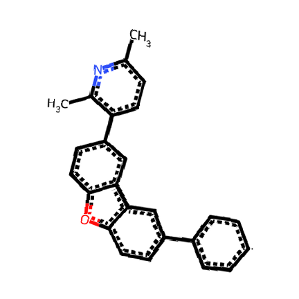 Cc1ccc(-c2ccc3oc4ccc(-c5cc[c]cc5)cc4c3c2)c(C)n1